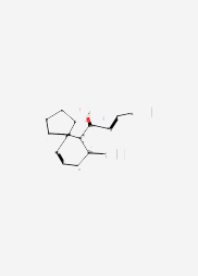 C/C=C/C(=O)C1C(C)CC=CC12CCCC2